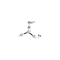 [Al].[Fe].[Mn+2].[O-]O[O-]